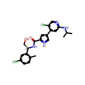 Cc1ccc(Cl)cc1[C@@H](CO)NC(=O)c1cc(-c2cc(NC(C)C)ncc2Cl)c[nH]1